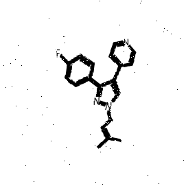 CC(C)=CCn1cc(-c2ccncc2)c(-c2ccc(F)cc2)n1